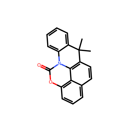 CC1(C)c2ccccc2N2C(=O)Oc3cccc4ccc1c2c34